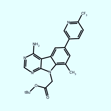 Cc1cc(-c2ccc(C(F)(F)F)nc2)cc2c3c(N)ncnc3n(CC(=O)OC(C)(C)C)c12